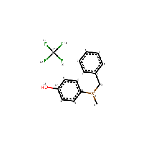 C[S+](Cc1ccccc1)c1ccc(O)cc1.F[B-](F)(F)F